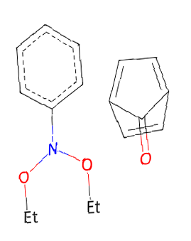 CCON(OCC)c1ccccc1.O=C1C2=CC=C1C=C2